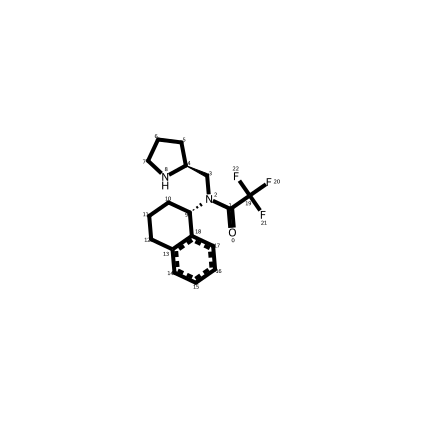 O=C(N(C[C@@H]1CCCN1)[C@H]1CCCc2ccccc21)C(F)(F)F